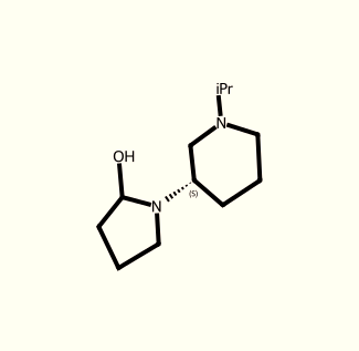 CC(C)N1CCC[C@H](N2CCCC2O)C1